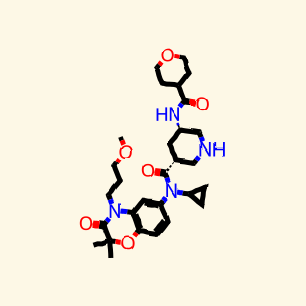 COCCCN1C(=O)C(C)(C)Oc2ccc(N(C(=O)[C@H]3CNC[C@@H](NC(=O)C4CCOCC4)C3)C3CC3)cc21